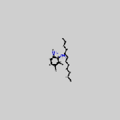 CCCCCCCCCCCC.Cc1ccc(N)c(N)c1C